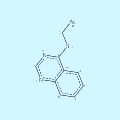 CC(=O)CSc1ncnc2ccccc12